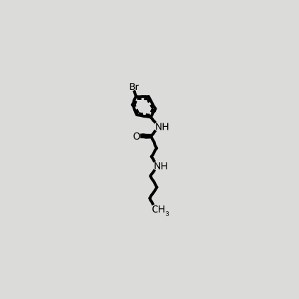 CCCCNCCC(=O)Nc1ccc(Br)cc1